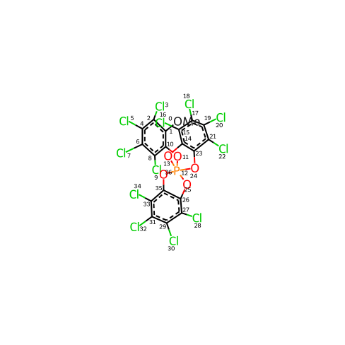 COc1c(Cl)c(Cl)c(Cl)c(Cl)c1OP12(Oc3c(Cl)c(Cl)c(Cl)c(Cl)c3O1)Oc1c(Cl)c(Cl)c(Cl)c(Cl)c1O2